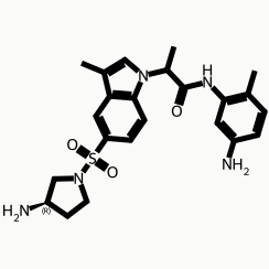 Cc1ccc(N)cc1NC(=O)C(C)n1cc(C)c2cc(S(=O)(=O)N3CC[C@@H](N)C3)ccc21